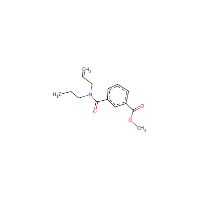 C=CCN(CCC)C(=O)c1cccc(C(=O)OC)c1